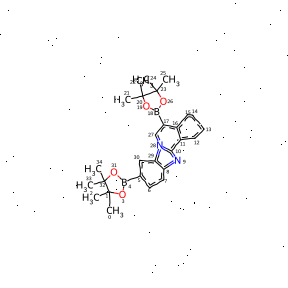 CC1(C)OB(c2ccc3nc4c5ccccc5c(B5OC(C)(C)C(C)(C)O5)cn4c3c2)OC1(C)C